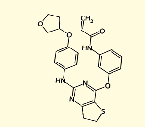 C=CC(=O)Nc1cccc(Oc2nc(Nc3ccc(OC4CCOC4)cc3)nc3c2SCC3)c1